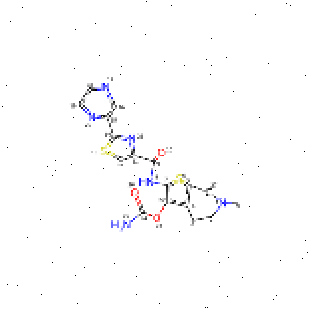 CN1CCc2c(sc(NC(=O)c3csc(-c4cnccn4)n3)c2OC(N)=O)C1